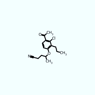 CCCc1c(OC(C)CCC#N)ccc(C(C)=O)c1Cl